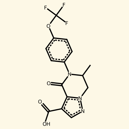 CC1Cn2ncc(C(=O)O)c2C(=O)N1c1ccc(OC(F)(F)F)cc1